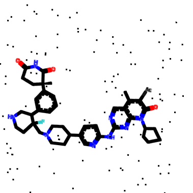 CC(=O)c1c(C)c2cnc(Nc3ccc(C4CCN(CC5(F)CCNCC5c5cccc([C@]6(C)CCC(=O)NC6=O)c5)CC4)cn3)nc2n(C2CCCC2)c1=O